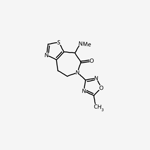 CNC1C(=O)N(c2noc(C)n2)CCc2ncsc21